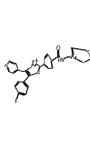 O=C(NN1CCOCC1)c1ccc(-c2nc(-c3ccc(F)cc3)c(-c3ccncc3)[nH]2)cc1